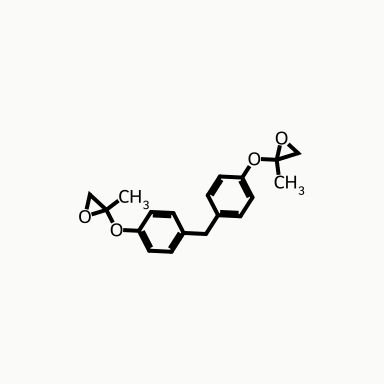 CC1(Oc2ccc(Cc3ccc(OC4(C)CO4)cc3)cc2)CO1